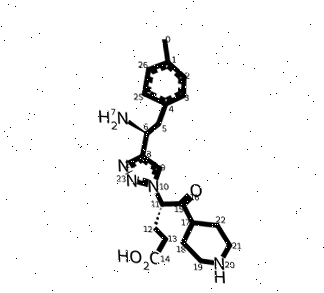 Cc1ccc(C[C@H](N)c2cn([C@@H](CCC(=O)O)C(=O)C3CCNCC3)nn2)cc1